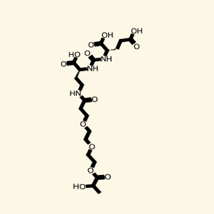 CC(O)C(=O)OCCOCCOCCC(=O)NCC[C@H](NC(=O)N[C@@H](CCC(=O)O)C(=O)O)C(=O)O